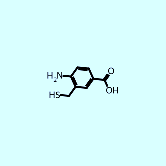 Nc1ccc(C(=O)O)cc1CS